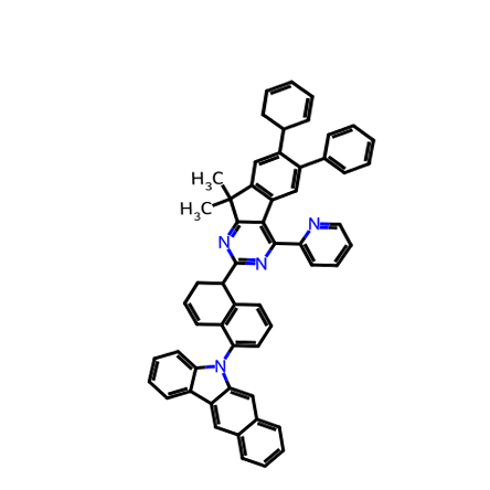 CC1(C)c2cc(C3C=CC=CC3)c(-c3ccccc3)cc2-c2c(-c3ccccn3)nc(C3CC=Cc4c3cccc4-n3c4ccccc4c4cc5ccccc5cc43)nc21